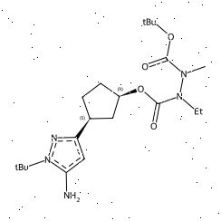 CCN(C(=O)O[C@@H]1CC[C@H](c2cc(N)n(C(C)(C)C)n2)C1)N(C)C(=O)OC(C)(C)C